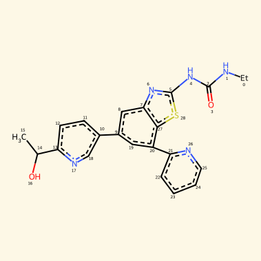 CCNC(=O)Nc1nc2cc(-c3ccc(C(C)O)nc3)cc(-c3ccccn3)c2s1